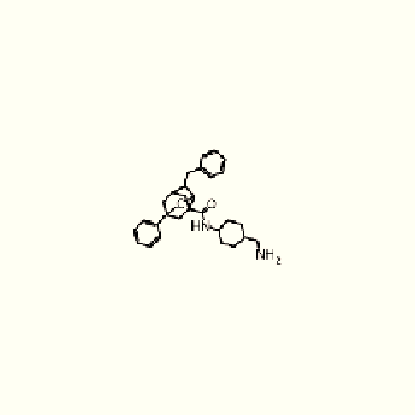 NCC1CCC(NC(=O)C23CC4CC(c5ccccc5)(CC2C4Cc2ccccc2)C3)CC1